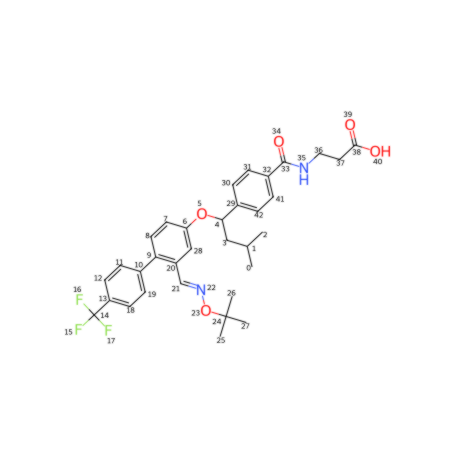 CC(C)CC(Oc1ccc(-c2ccc(C(F)(F)F)cc2)c(C=NOC(C)(C)C)c1)c1ccc(C(=O)NCCC(=O)O)cc1